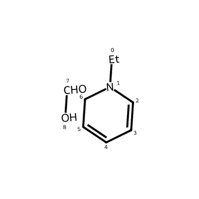 CCN1C=CC=CC1.O=CO